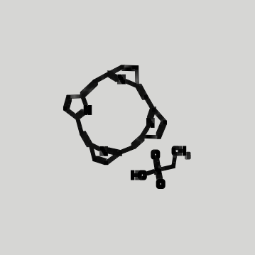 C1=CC2=NC1=CC1=NC(=CC3=NC(=CC4=NC(=C2)C=C4)C=C3)C=C1.CCS(=O)(=O)O